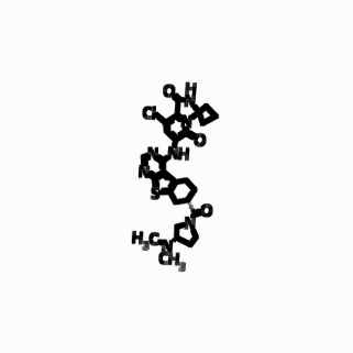 CN(C)[C@H]1CCN(C(=O)[C@H]2CCc3c(sc4ncnc(Nc5cc(Cl)c6n(c5=O)C5(CCC5)NC6=O)c34)C2)C1